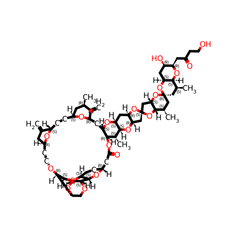 C=C1C[C@@H]2CCO[C@@H]3C4CO[C@@H]5[C@H](O4)[C@H]3O[C@H]3CC[C@H](CC(=O)O[C@@H]4[C@@H](C)[C@@H]6O[C@@H]7C[C@]8(C[C@@H]9O[C@]%10(C[C@H](C)[C@@H]%11O[C@H](CC(=O)CCO)[C@H](O)C[C@@H]%11O%10)C[C@H](C)[C@@H]9O8)O[C@@H]7C[C@@H]6O[C@H]4C[C@H]4O[C@@H](CC[C@@H]1O2)C[C@@H](C)C4=C)O[C@H]53